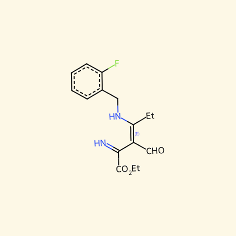 CCOC(=O)C(=N)/C(C=O)=C(/CC)NCc1ccccc1F